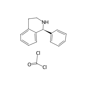 O=C(Cl)Cl.c1ccc([C@@H]2NCCc3ccccc32)cc1